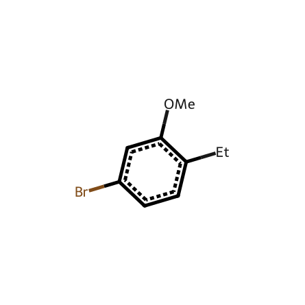 CCc1ccc(Br)cc1OC